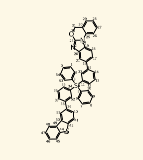 c1ccc([Si](c2ccccc2)(c2cccc(-c3ccc4c(c3)nc3n4-c4ccccc4CO3)c2)c2cccc(-c3ccc4sc5ccccc5c4c3)c2)cc1